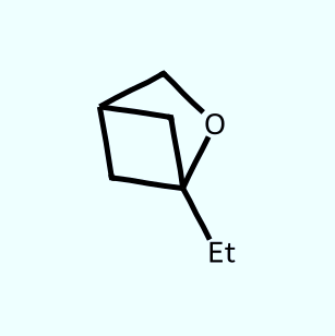 [CH2]CC12CC(CO1)C2